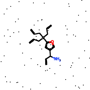 C=CC[Si](CC=C)(CC=C)c1cc(C(N)C=C)co1